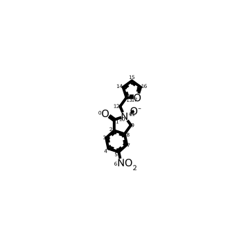 O=C1c2ccc([N+](=O)[O-])cc2C[N+]1([O-])Cc1ccco1